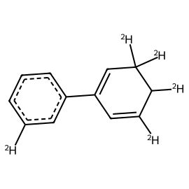 [2H]C1=CC(c2cccc([2H])c2)=CC([2H])([2H])C1[2H]